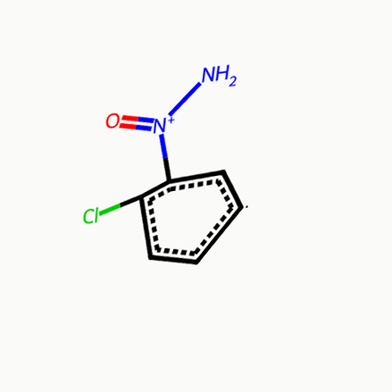 N[N+](=O)c1c[c]ccc1Cl